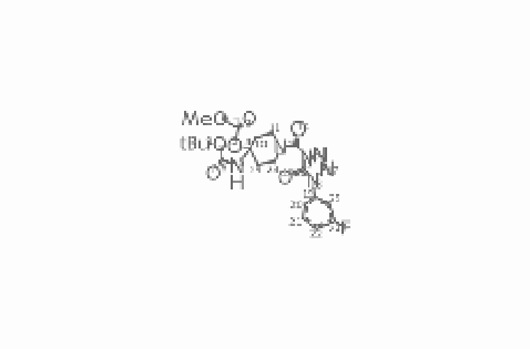 COC(=O)OC1(NC(=O)OC(C)(C)C)CCN(C(=O)n2nnn(-c3cccc(F)c3)c2=O)CC1